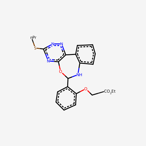 CCCSc1nnc2c(n1)OC(c1ccccc1OCC(=O)OCC)Nc1ccccc1-2